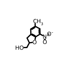 Cc1cc2c(c([N+](=O)[O-])c1)OC(CO)C2